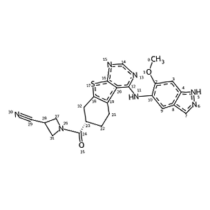 COc1cc2[nH]ncc2cc1Nc1ncnc2sc3c(c12)CC[C@H](C(=O)N1CC(C#N)C1)C3